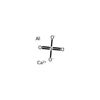 O=S(=O)([O-])[O-].[Al].[Ca+2]